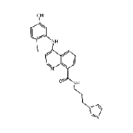 Cc1ccc(O)cc1Nc1ccnc2c(C(=O)NCCCn3ccnc3)cccc12